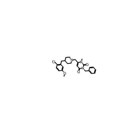 COc1ccc(Cl)c(CC2CCN(Cc3cc(=O)n(Cc4ccccc4)c(=O)n3C)CC2)c1